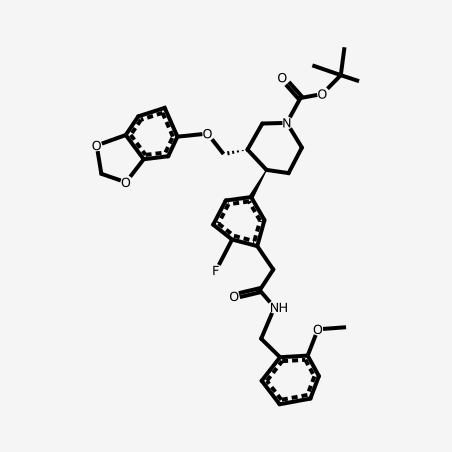 COc1ccccc1CNC(=O)Cc1cc([C@@H]2CCN(C(=O)OC(C)(C)C)C[C@H]2COc2ccc3c(c2)OCO3)ccc1F